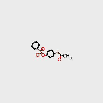 CC(=O)Sc1ccc(OS(=O)(=O)c2ccccc2)cc1